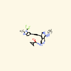 CNc1ncc(C#Cc2ccc3nc(C)n(C(F)F)c3c2)c2cc(NC(=O)C3CC3)ncc12